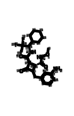 CONC(=O)[C@@H]1C(Cc2ccnc(N)c2)C(=O)N1C(=O)N[C@@H](C1CCCCC1)C(F)(F)F